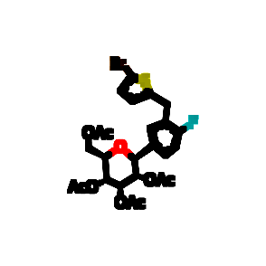 CC(=O)OC[C@H]1O[C@@H](c2ccc(F)c(Cc3ccc(Br)s3)c2)[C@H](OC(C)=O)[C@@H](OC(C)=O)[C@@H]1OC(C)=O